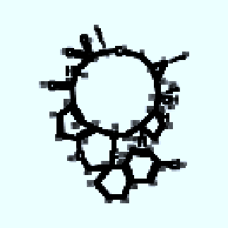 C[C@H]1C2CC[C@@H](C)S(=O)(=O)NC(=O)c3ccc4c(c3)N(C[C@@H]3CC[C@H]3[C@](C)(O)C21)C[C@@]1(CCCc2cc(Cl)ccc21)CO4